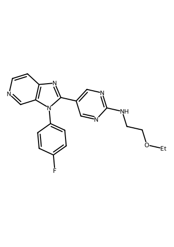 CCOCCNc1ncc(-c2nc3ccncc3n2-c2ccc(F)cc2)cn1